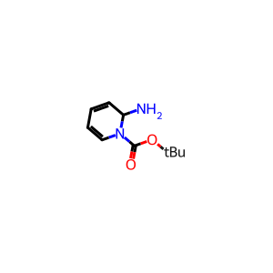 CC(C)(C)OC(=O)N1C=CC=CC1N